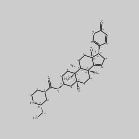 C[C@]12CC[C@H](OC(=O)N3CCN[C@@H](CO)C3)C[C@H]1CC[C@H]1C3=CC[C@H](c4ccc(=O)oc4)[C@@]3(C)CC[C@@H]12